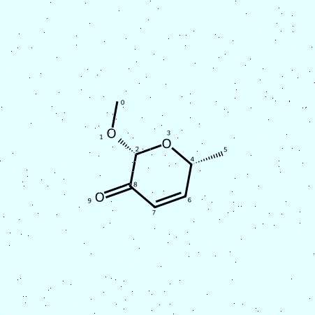 CO[C@@H]1O[C@H](C)C=CC1=O